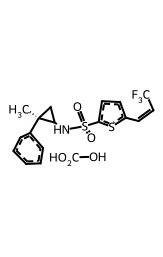 C[C@]1(c2ccccc2)C[C@@H]1NS(=O)(=O)c1ccc(/C=C\C(F)(F)F)s1.O=C(O)O